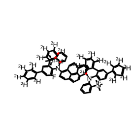 [2H]c1c([2H])c([2H])c(-c2cc(F)c(N(c3ccccc3[Si](C)(C)C)c3ccc4ccc5c(N(c6ccccc6[Si](C)(C)C)c6c(F)cc(-c7c([2H])c([2H])c([2H])c([2H])c7[2H])cc6-c6c([2H])c([2H])c([2H])c([2H])c6[2H])ccc6ccc3c4c65)c(-c3c([2H])c([2H])c([2H])c([2H])c3[2H])c2)c([2H])c1[2H]